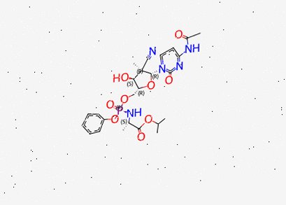 CC(=O)Nc1ccn([C@@H]2O[C@H](CO[P@](=O)(N[C@@H](C)C(=O)OC(C)C)Oc3ccccc3)[C@@H](O)[C@@]2(C)C#N)c(=O)n1